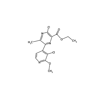 CCOC(=O)c1nc(-c2ccnc(OC)c2Cl)c(C)nc1Cl